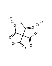 O=C([O-])C(C(=O)[O-])(C(=O)[O-])C(=O)[O-].[Cs+].[Cs+].[Cs+].[Cs+]